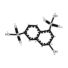 O=S(=O)(O)c1ccc2c(S(=O)(=O)O)cc(O)[c]c2c1